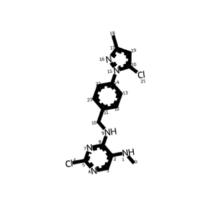 CNc1cnc(Cl)nc1NCc1ccc(-n2nc(C)cc2Cl)cc1